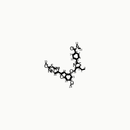 CCc1sc(-c2ccc(C(=O)N(C)C)cc2)nc1COc1cc(OC)cc2oc(-c3cn4nc(OC)sc4n3)cc12